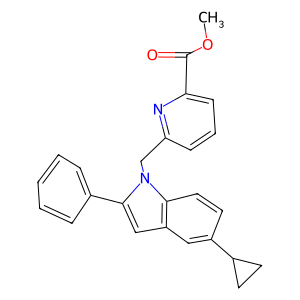 COC(=O)c1cccc(Cn2c(-c3ccccc3)cc3cc(C4CC4)ccc32)n1